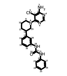 [C-]#[N+]c1c(N)ncnc1N1CCCC(c2cccc(NC(=O)Nc3ccccc3)c2)C1